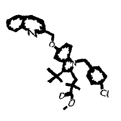 COC(=O)C(C)(C)Cc1c(C(C)(C)C)c2cc(OCc3ccc4ccccc4n3)ccc2n1Cc1ccc(Cl)cc1